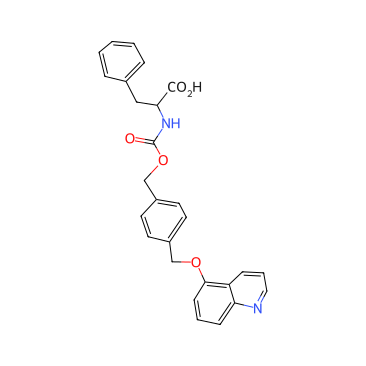 O=C(NC(Cc1ccccc1)C(=O)O)OCc1ccc(COc2cccc3ncccc23)cc1